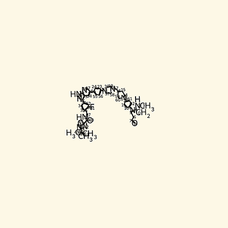 C=C(NC)N(CCC=O)c1ccc(N2CCC(CN3CCN(c4ccc(-c5cnc6[nH]nc(-c7ccc(CNC(=O)c8nc(C(C)(C)C)no8)c(F)c7)c6c5)cc4)CC3)CC2)cc1